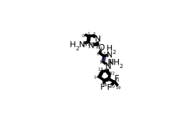 Cc1cnc(OC/C(N)=C/N(N)c2ccc(F)c(C(C)(F)F)c2)nc1N